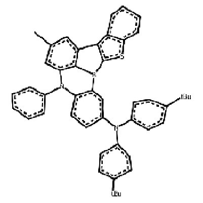 Cc1cc2c3c(c1)N(c1ccccc1)c1ccc(N(c4ccc(C(C)(C)C)cc4)c4ccc(C(C)(C)C)cc4)cc1B3c1sc3ccccc3c1-2